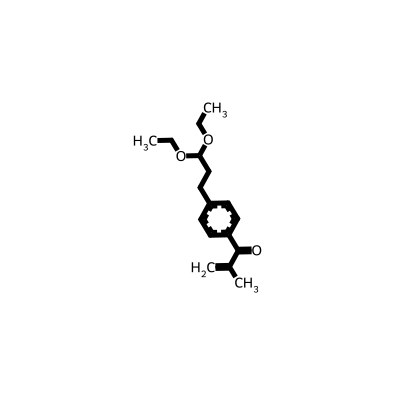 C=C(C)C(=O)c1ccc(CCC(OCC)OCC)cc1